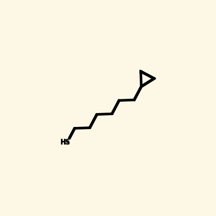 SCCCCCCC1CC1